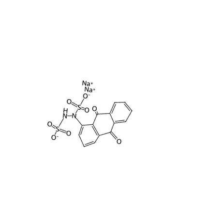 O=C1c2ccccc2C(=O)c2c1cccc2N(NS(=O)(=O)[O-])S(=O)(=O)[O-].[Na+].[Na+]